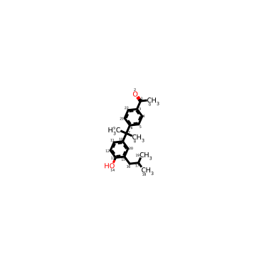 CC(=O)c1ccc(C(C)(C)c2ccc(O)c(CC(C)C)c2)cc1